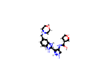 O=C(Nc1c[nH]nc1-c1nc2cc(CN3CCOCC3)ccc2[nH]1)C1CCOC1